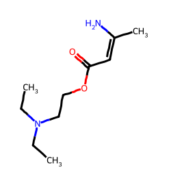 CCN(CC)CCOC(=O)C=C(C)N